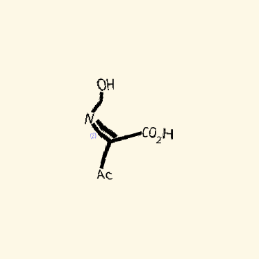 CC(=O)/C(=N/O)C(=O)O